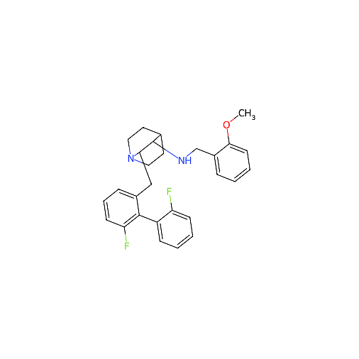 COc1ccccc1CNC1C2CCN(CC2)C1Cc1cccc(F)c1-c1ccccc1F